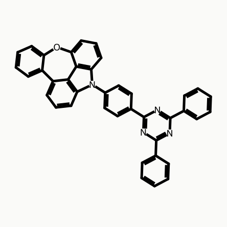 c1ccc(-c2nc(-c3ccccc3)nc(-c3ccc(-n4c5cccc6oc7ccccc7c7cccc4c7c65)cc3)n2)cc1